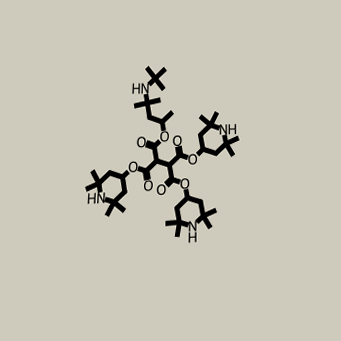 CC(CC(C)(C)NC(C)(C)C)OC(=O)C(C(=O)OC1CC(C)(C)NC(C)(C)C1)C(C(=O)OC1CC(C)(C)NC(C)(C)C1)C(=O)OC1CC(C)(C)NC(C)(C)C1